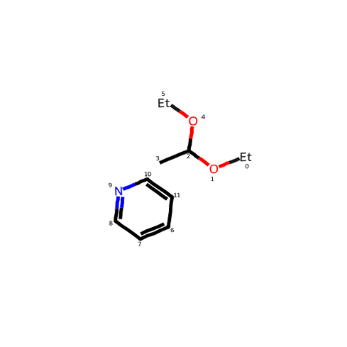 CCOC(C)OCC.c1ccncc1